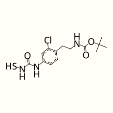 CC(C)(C)OC(=O)NCCc1ccc(NC(=O)NS)cc1Cl